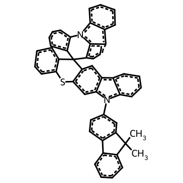 CC1(C)c2ccccc2-c2ccc(-n3c4ccccc4c4cc5c(cc43)Sc3ccccc3C53c4ccccc4-n4c5ccccc5c5cccc3c54)cc21